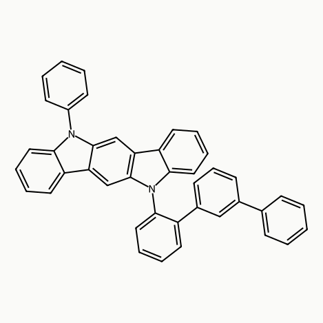 c1ccc(-c2cccc(-c3ccccc3-n3c4ccccc4c4cc5c(cc43)c3ccccc3n5-c3ccccc3)c2)cc1